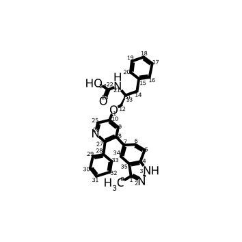 Cc1n[nH]c2ccc(-c3cc(OC[C@H](Cc4ccccc4)NC(=O)O)cnc3-c3ccccc3)cc12